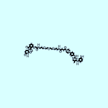 Cc1cnc(Nc2ccc(N3CCN(C(=O)CCC(=O)NCCCOCCOCCOCCCNC(=O)COc4cccc5c4C(=O)N(C4CCC(=O)NC4=O)C5=O)CC3)cc2)nc1Nc1cccc(S)c1